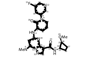 CNc1cc(Nc2cccn(-c3cncc(F)c3)c2=O)nc2c(C(=O)N[C@H]3CC[C@@H]3OC)cnn12